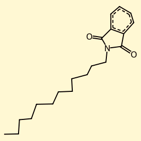 CCCCCCCCCCCCN1C(=O)c2ccccc2C1=O